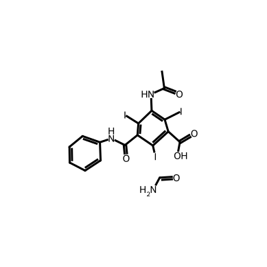 CC(=O)Nc1c(I)c(C(=O)O)c(I)c(C(=O)Nc2ccccc2)c1I.NC=O